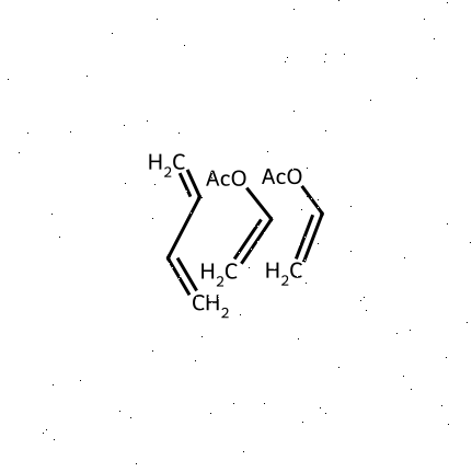 C=CC=C.C=COC(C)=O.C=COC(C)=O